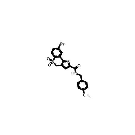 Cc1ccc(CNC(=O)c2cc3c(s2)-c2cc(C(C)C)ccc2S(=O)(=O)C3)cc1